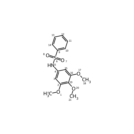 COc1cc(NS(=O)(=O)c2ccccc2)cc(OC)c1OC